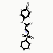 O=C(/C=C/S(=O)(=O)C1CCCCC1)Oc1ccc(Cl)cc1